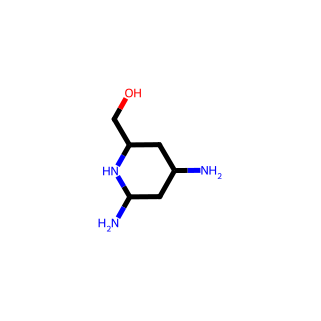 NC1CC(N)NC(CO)C1